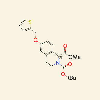 COC(=O)[C@H]1c2ccc(OCc3cccs3)cc2CCN1C(=O)OC(C)(C)C